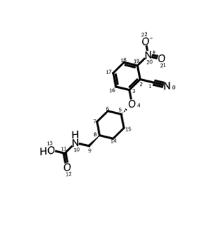 N#Cc1c(O[C@H]2CC[C@H](CNC(=O)O)CC2)cccc1[N+](=O)[O-]